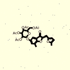 CC(=O)OCC1OC(Oc2cc(C)c3c(c2)C(=O)/C(=C/c2ccc(C)o2)O3)C(OC(C)=O)C(OC(C)=O)C1OC(C)=O